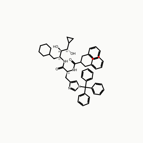 O=C(N[C@@H](Cc1cn(C(c2ccccc2)(c2ccccc2)c2ccccc2)cn1)C(=O)N[C@@H](CC1CCCCC1)[C@@H](O)[C@@H](O)C1CC1)C(Cc1ccccc1)Cc1ccccc1